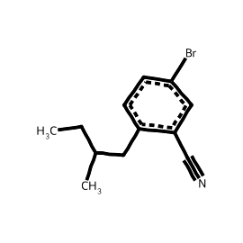 CCC(C)Cc1ccc(Br)cc1C#N